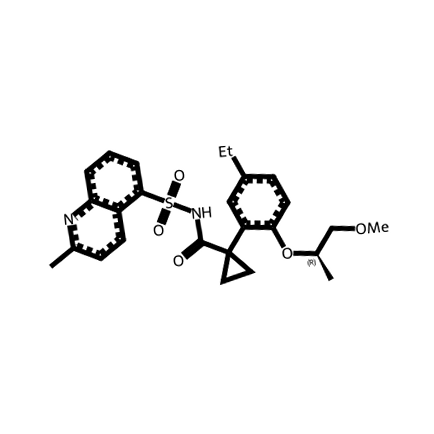 CCc1ccc(O[C@H](C)COC)c(C2(C(=O)NS(=O)(=O)c3cccc4nc(C)ccc34)CC2)c1